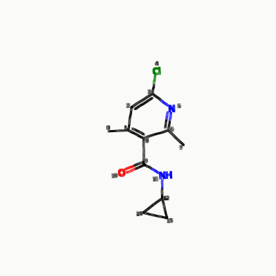 Cc1cc(Cl)nc(C)c1C(=O)NC1CC1